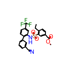 CCc1ccc(C(=O)OC)cc1S(=O)(=O)Nc1cc(C(F)(F)F)ccc1-c1cccc(C#N)c1